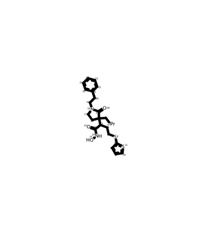 CC(C)CC1(C(CCSc2cccs2)C(=O)NO)CCN(CCc2ccccc2)C1=O